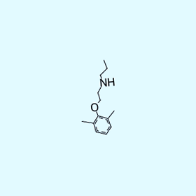 CCCNCCOc1c(C)cccc1C